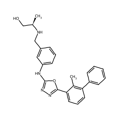 Cc1c(-c2ccccc2)cccc1-c1nnc(Nc2cccc(CN[C@H](C)CO)c2)o1